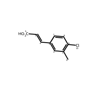 Cc1cc(/C=C/C(=O)O)ccc1Cl